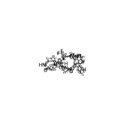 CCn1c(-c2cc(N3CCN4CCC[C@@H]4C3)cnc2[C@H](C)OC)c2c3cc(ccc31)-c1cc(cc(C(F)F)c1)C[C@H](NC(=O)[C@H](C1CCCC1)N1CC[C@]3(CCN(C(=O)[C@@H]4N[C@@H]4C4CC4)C3)C1)C(=O)N1CCC[C@H](N1)C(=O)OCC(C)(C)C2